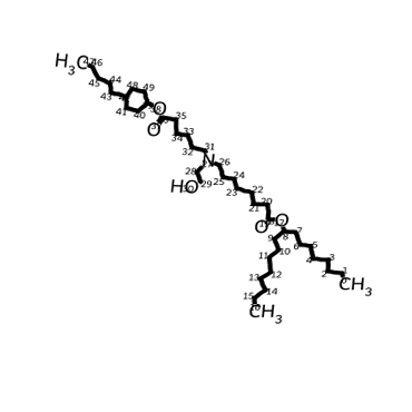 CCCCCCCCC(CCCCCCCC)OC(=O)CCCCCCCN(CCO)CCCCCC(=O)OC1CCC(CCCCC)CC1